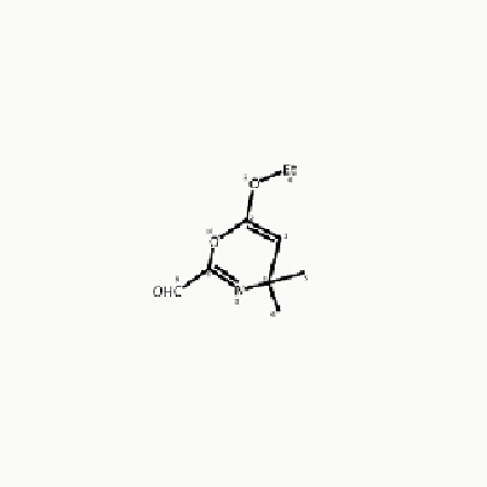 CCOC1=CC(C)(C)N=C(C=O)O1